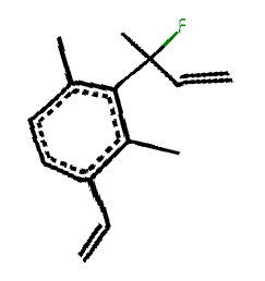 C=Cc1ccc(C)c(C(C)(F)C=C)c1C